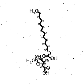 CCCCCCCCCCCCCOP(=O)(O)OC(CC(=O)O)C[N+](C)(C)C